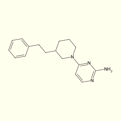 Nc1nccc(N2CCCC(CCc3ccccc3)C2)n1